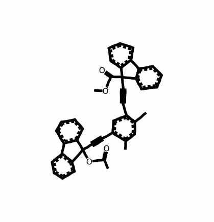 COC(=O)C1(C#Cc2cc(C#CC3(OC(C)=O)c4ccccc4-c4ccccc43)c(C)cc2C)c2ccccc2-c2ccccc21